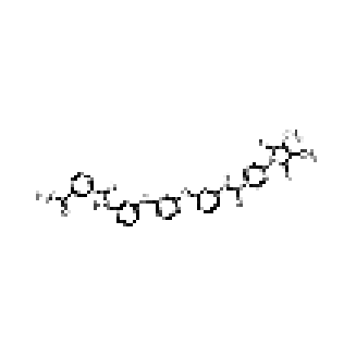 CC(=O)c1cccc(C(=O)Nc2cccc(Oc3cccc(Oc4cccc(NC(=O)c5ccc(N6C(=O)C(C)=C(C)C6=O)cc5)c4)c3)c2)c1